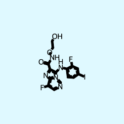 O=C(NOCCO)c1nc2c(F)cncn2c1Nc1ccc(I)cc1F